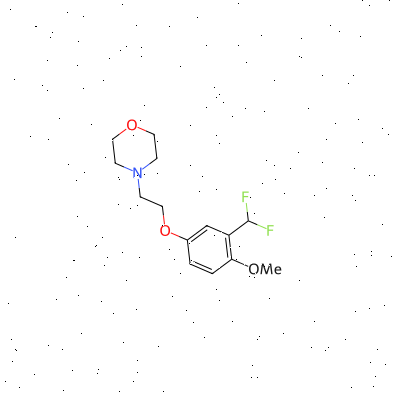 COc1ccc(OCCN2CCOCC2)cc1C(F)F